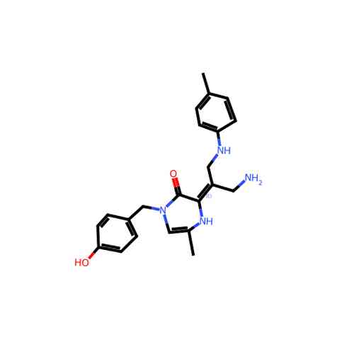 CC1=CN(Cc2ccc(O)cc2)C(=O)/C(=C(/CN)CNc2ccc(C)cc2)N1